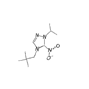 CC(C)N1N=CN(CC(C)(C)C)C1[N+](=O)[O-]